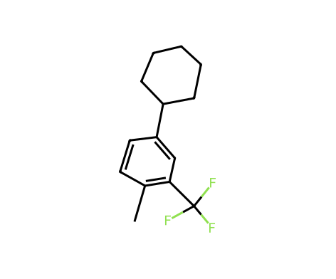 Cc1ccc(C2CCCCC2)cc1C(F)(F)F